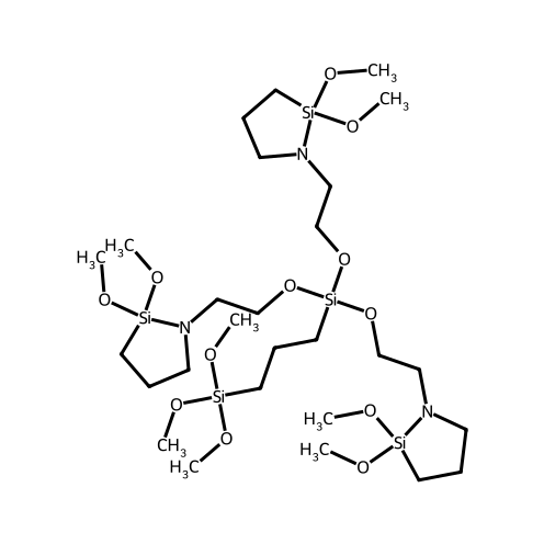 CO[Si](CCC[Si](OCCN1CCC[Si]1(OC)OC)(OCCN1CCC[Si]1(OC)OC)OCCN1CCC[Si]1(OC)OC)(OC)OC